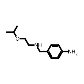 CC(C)OCCNCc1ccc(N)cc1